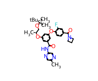 Cc1cnc(NC(=O)c2cc(Oc3ccc(C(=O)N4CCC4)cc3F)cc(O[C@@H](C)CO[Si](C)(C)C(C)(C)C)c2)cn1